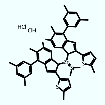 Cc1cc(C)cc(-c2c(C)c(C)cc3c2C=C(c2ccc(C)s2)[CH]3[Zr]([CH]2C(c3ccc(C)s3)=Cc3c2cc(C)c(C)c3-c2cc(C)cc(C)c2)=[Si](C)C)c1.Cl.Cl